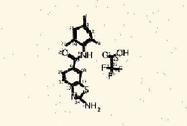 Cc1cc(C)c(NC(=O)c2ccc3nc(N)sc3c2)c(C)c1.O=C(O)C(F)(F)F